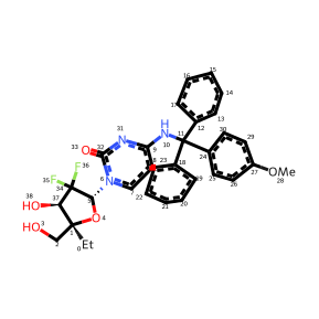 CC[C@]1(CO)O[C@@H](n2ccc(NC(c3ccccc3)(c3ccccc3)c3ccc(OC)cc3)nc2=O)C(F)(F)[C@@H]1O